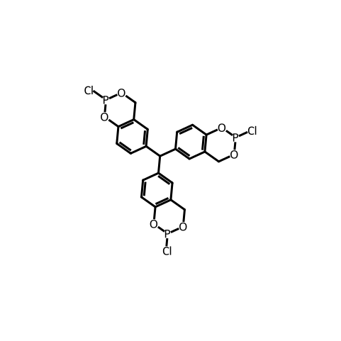 ClP1OCc2cc(C(c3ccc4c(c3)COP(Cl)O4)c3ccc4c(c3)COP(Cl)O4)ccc2O1